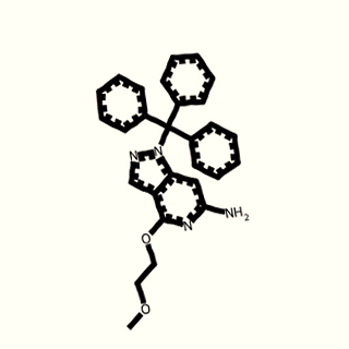 COCCOc1nc(N)cc2c1cnn2C(c1ccccc1)(c1ccccc1)c1ccccc1